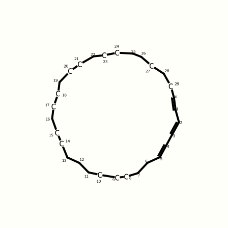 [C]1=C/C=C/C=C\CCCCCCCCCCCCCCCCCCCCCCCC/1